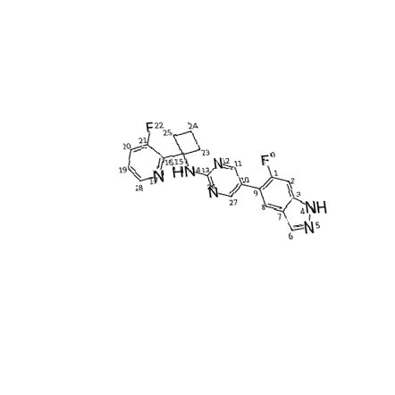 Fc1cc2[nH]ncc2cc1-c1cnc(NC2(c3ncccc3F)CCC2)nc1